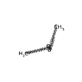 CCCCCCCCCCCCCCCCCC=C([C]=O)C(=O)CCCCCCCCCCCCCCCCCCC